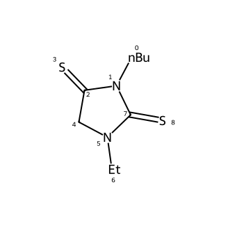 CCCCN1C(=S)CN(CC)C1=S